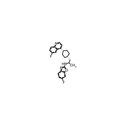 CC(C[C@H]1CC[C@@H](c2ccnc3ccc(F)cc32)CC1)Nc1nc2ccc(F)cc2o1